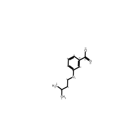 CC(C)CCOc1cc[c]c(C(=O)Cl)c1